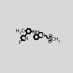 Cc1ccc(Nc2cccc3c2CCN(CCS(C)(=O)=O)C3)cc1-c1ccc(F)cn1